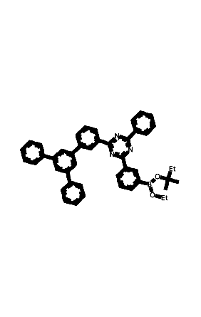 CCOB(OC(C)(C)CC)c1cccc(-c2nc(-c3ccccc3)nc(-c3cccc(-c4cc(-c5ccccc5)cc(-c5ccccc5)c4)c3)n2)c1